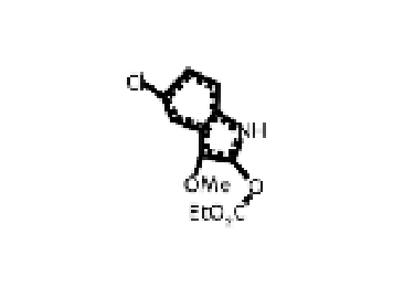 CCOC(=O)Oc1[nH]c2ccc(Cl)cc2c1OC